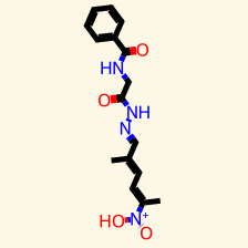 CC(/C=N/NC(=O)CNC(=O)c1ccccc1)=C\C=C(/C)[N+](=O)O